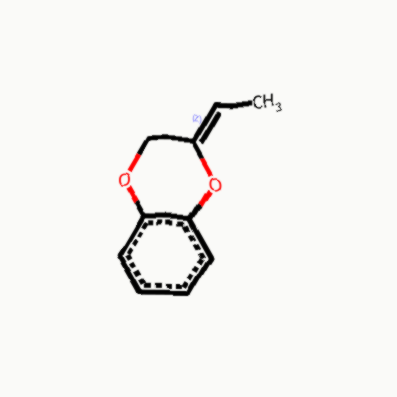 C/C=C1/COc2ccccc2O1